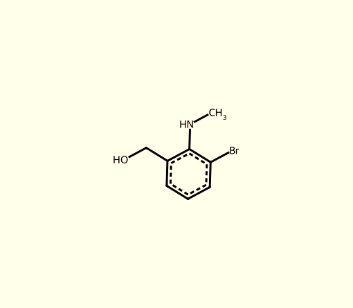 CNc1c(Br)cccc1CO